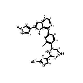 Cc1cc(-c2ncnc3cc(-c4cnn(C)c4)[nH]c23)ccc1C(CO)NC(=O)c1cnc(C(C)(C)C)s1